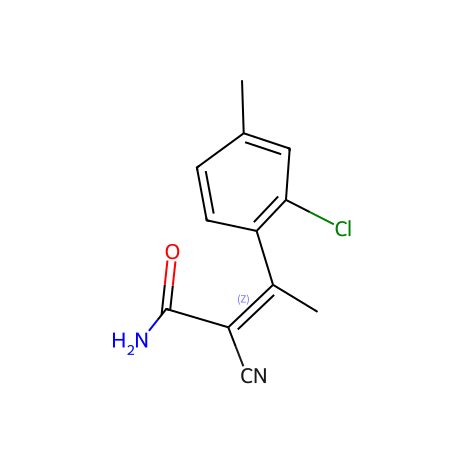 C/C(=C(\C#N)C(N)=O)c1ccc(C)cc1Cl